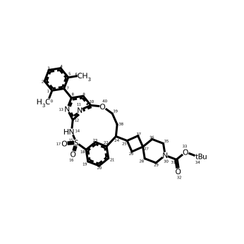 Cc1cccc(C)c1-c1cc2nc(n1)NS(=O)(=O)c1cccc(c1)C(C1CC3(CCN(C(=O)OC(C)(C)C)CC3)C1)CCO2